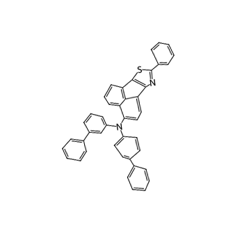 c1ccc(-c2ccc(N(c3cccc(-c4ccccc4)c3)c3ccc4c5c(cccc35)-c3sc(-c5ccccc5)nc3-4)cc2)cc1